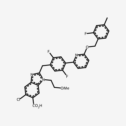 COCCn1c(Cc2cc(F)c(-c3cccc(OCc4ccc(C)cc4F)n3)cc2F)nc2cc(Cl)c(C(=O)O)cc21